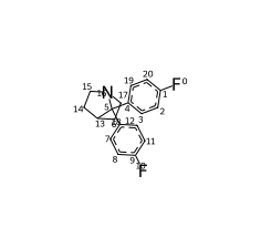 Fc1ccc(C2(c3ccc(F)cc3)C3CCN2CC3)cc1